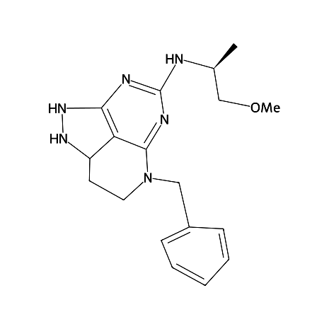 COC[C@H](C)Nc1nc2c3c(n1)N(Cc1ccccc1)CCC3NN2